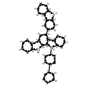 c1ccc(-c2ccc(-n3c4ccccc4c4c(-c5ccc6sc7ccccc7c6c5)cc5c6ccccc6oc5c43)cc2)cc1